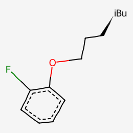 CC[C@H](C)CCCOc1ccccc1F